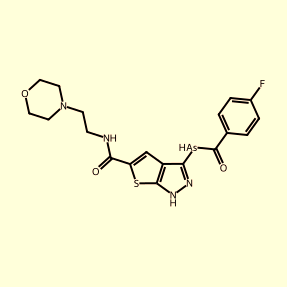 O=C([AsH]c1n[nH]c2sc(C(=O)NCCN3CCOCC3)cc12)c1ccc(F)cc1